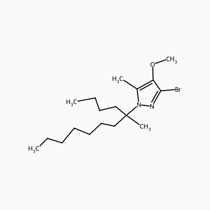 CCCCCCCC(C)(CCCC)n1nc(Br)c(OC)c1C